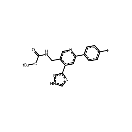 CC(C)(C)OC(=O)NCc1cnc(-c2ccc(F)cc2)cc1-c1nc[nH]n1